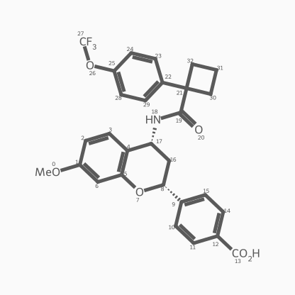 COc1ccc2c(c1)O[C@@H](c1ccc(C(=O)O)cc1)C[C@H]2NC(=O)C1(c2ccc(OC(F)(F)F)cc2)CCC1